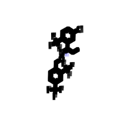 CC/C(=N\OCc1ccc(C(F)(F)F)cc1C(F)(F)F)c1cc(Cl)ccc1C(F)(F)F